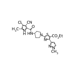 CCOC(=O)c1sc(N2CCC(NC(=O)c3[nH]c(C)c(Cl)c3C#N)CC2)nc1-c1ccn(C)n1